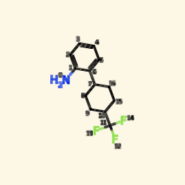 Nc1ccccc1C1CCC(C(F)(F)F)CC1